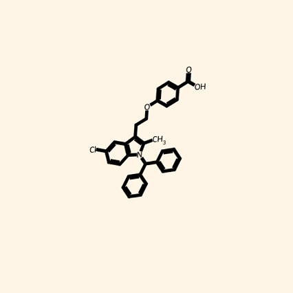 Cc1c(CCOc2ccc(C(=O)O)cc2)c2cc(Cl)ccc2n1C(c1ccccc1)c1ccccc1